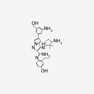 CCc1cc(O)ccc1/N=C(\N)c1cnn2cc(-c3cc(N)cc(CO)c3)cc2c1NC1CCC(N)C1(C)C